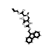 C=CCOC(=O)CN(C)CC(NC(=O)OCC1c2ccccc2-c2ccccc21)C(=O)O